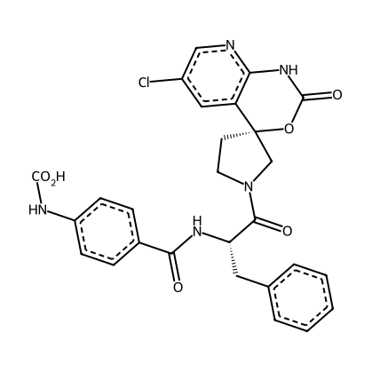 O=C(O)Nc1ccc(C(=O)N[C@@H](Cc2ccccc2)C(=O)N2CC[C@@]3(C2)OC(=O)Nc2ncc(Cl)cc23)cc1